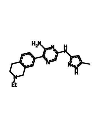 CCN1CCc2ccc(-c3ncc(Nc4cc(C)[nH]n4)nc3N)cc2C1